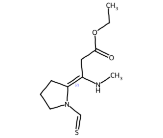 CCOC(=O)C/C(NC)=C1\CCCN1C=S